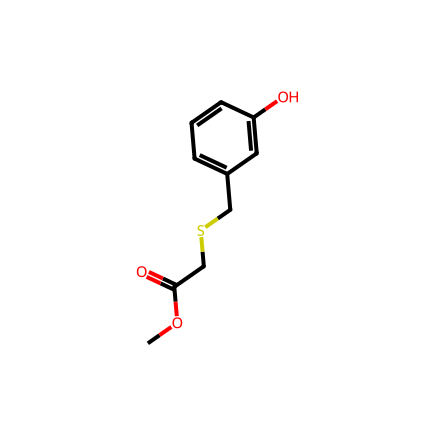 COC(=O)CSCc1cccc(O)c1